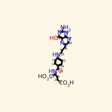 Nc1nc(O)c2nc(CCCNc3ccc(C(=O)NC(CCC(=O)O)C(=O)O)cc3)cnc2n1